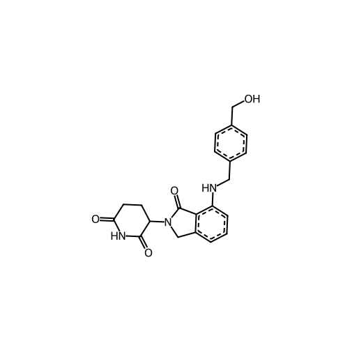 O=C1CCC(N2Cc3cccc(NCc4ccc(CO)cc4)c3C2=O)C(=O)N1